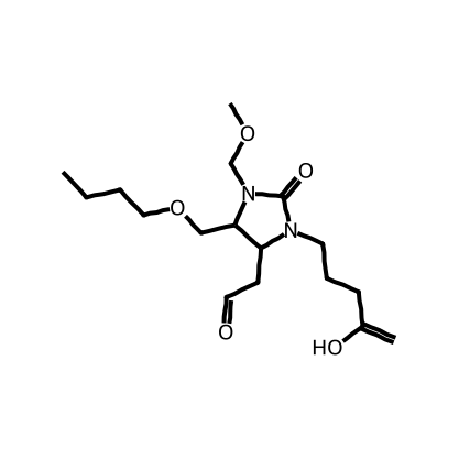 C=C(O)CCCN1C(=O)N(COC)C(COCCCC)C1CC=O